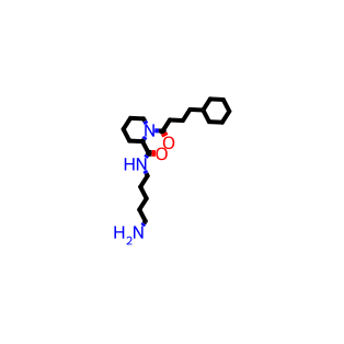 NCCCCCNC(=O)C1CCCCN1C(=O)CCCC1CCCCC1